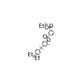 CCC(C)(C)OC(=O)c1cccc(C(=O)Oc2ccc(C(C)(C)c3ccc(C(C)(CC)CC)c(C)c3)cc2C)c1